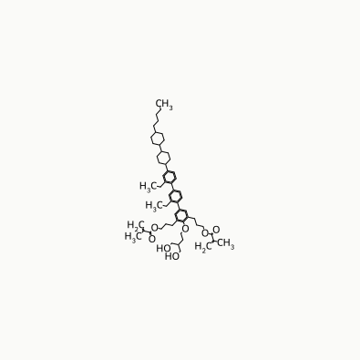 C=C(C)C(=O)OCCCc1cc(-c2ccc(-c3ccc(C4CCC(C5CCC(CCCCC)CC5)CC4)cc3CC)cc2CC)cc(CCCOC(=O)C(=C)C)c1OCCC(CO)CO